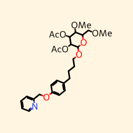 COCC1OC(OCCCCc2ccc(OCc3ccccn3)cc2)C(OC(C)=O)C(OC(C)=O)C1OC